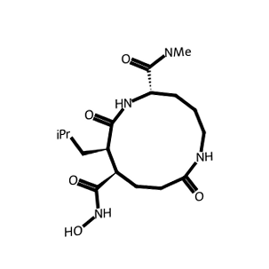 CNC(=O)[C@@H]1CCCNC(=O)CC[C@@H](C(=O)NO)[C@@H](CC(C)C)C(=O)N1